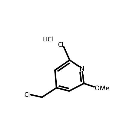 COc1cc(CCl)cc(Cl)n1.Cl